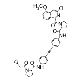 COc1cccc2c(C(=O)N3CCC[C@H]3C(=O)Nc3ccc(C#Cc4ccc(NC(=O)[C@@H]5CCCN5C(=O)CC5CC5)cc4)cc3)nc(Cl)cc12